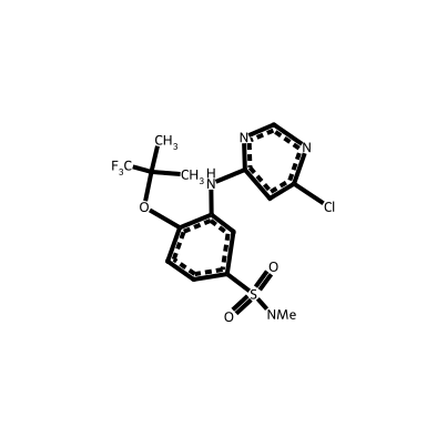 CNS(=O)(=O)c1ccc(OC(C)(C)C(F)(F)F)c(Nc2cc(Cl)ncn2)c1